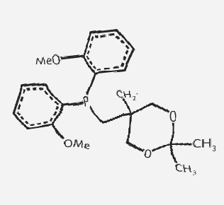 [CH2]C1(CP(c2ccccc2OC)c2ccccc2OC)COC(C)(C)OC1